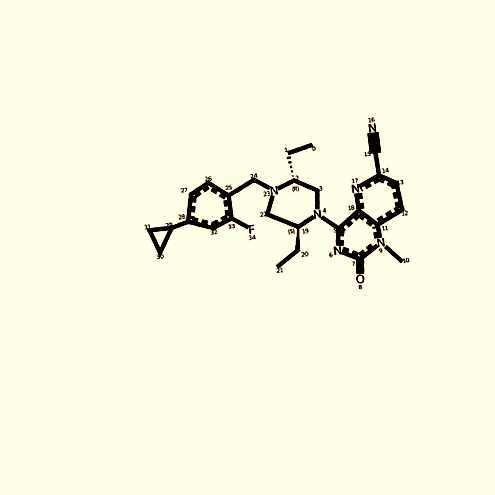 CC[C@@H]1CN(c2nc(=O)n(C)c3ccc(C#N)nc23)[C@@H](CC)CN1Cc1ccc(C2CC2)cc1F